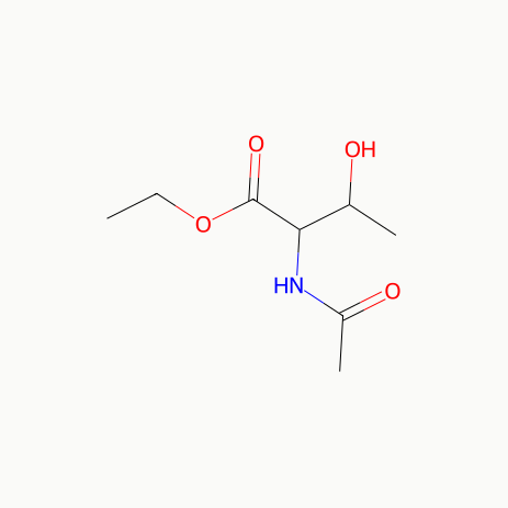 CCOC(=O)C(NC(C)=O)C(C)O